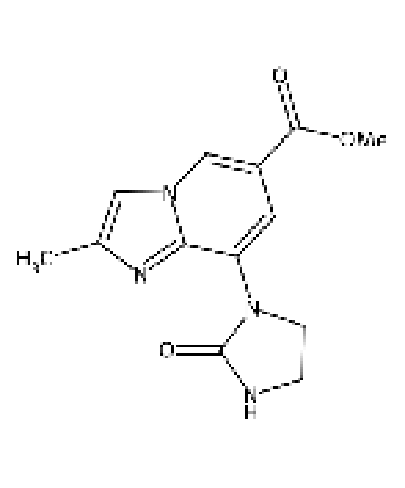 COC(=O)c1cc(N2CCNC2=O)c2nc(C)cn2c1